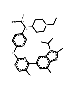 CCN1CCC([C@H](c2ccc(Nc3ncc(F)c(-c4cc(F)c5nc(C)n(C(C)C)c5c4)n3)nc2)[C@@H](C)O)CC1